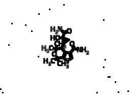 CC1(C)OC(C)(C)C(C2CC2(O)C(N)=O)c2c(C(N)=O)csc21